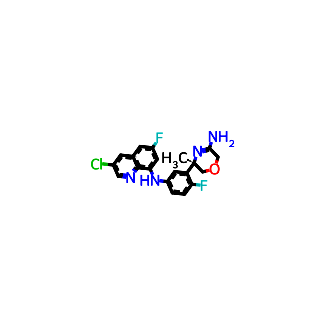 C[C@@]1(c2cc(Nc3cc(F)cc4cc(Cl)cnc34)ccc2F)COCC(N)=N1